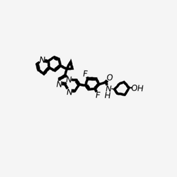 O=C(N[C@H]1CC[C@H](O)CC1)c1cc(F)c(-c2cnc3ncc(C4(c5ccc6ncccc6c5)CC4)n3c2)cc1F